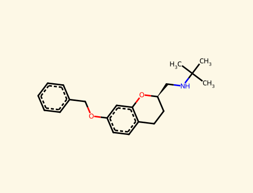 CC(C)(C)NC[C@H]1CCc2ccc(OCc3ccccc3)cc2O1